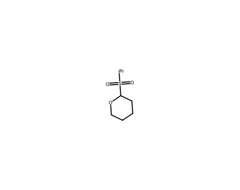 CC(C)S(=O)(=O)C1CCCCO1